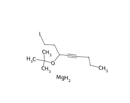 CCCC#CC(CCI)OC(C)(C)C.[MgH2]